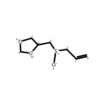 C=CC[S+]([O-])CC1COCO1